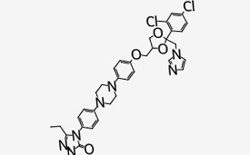 CCc1n[nH]c(=O)n1-c1ccc(N2CCN(c3ccc(OCC4COC(Cn5ccnc5)(c5ccc(Cl)cc5Cl)O4)cc3)CC2)cc1